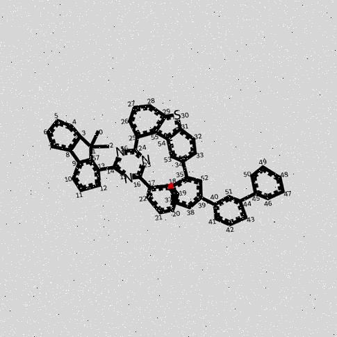 CC1(C)c2ccccc2-c2cccc(-c3nc(-c4ccccc4)nc(-c4cccc5sc6ccc(-c7cccc(-c8cccc(-c9ccccc9)c8)c7)cc6c45)n3)c21